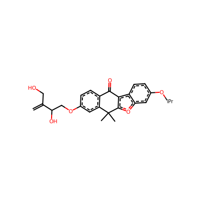 C=C(CO)C(O)COc1ccc2c(c1)C(C)(C)c1oc3cc(OC(C)C)ccc3c1C2=O